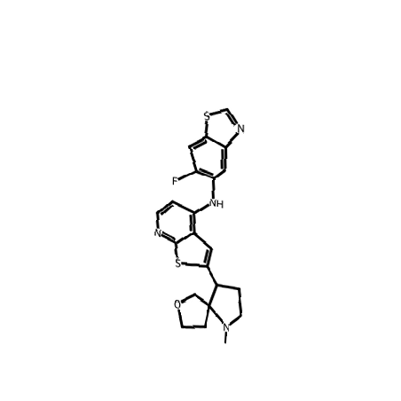 CN1CCC(c2cc3c(Nc4cc5ncsc5cc4F)ccnc3s2)C12CCOC2